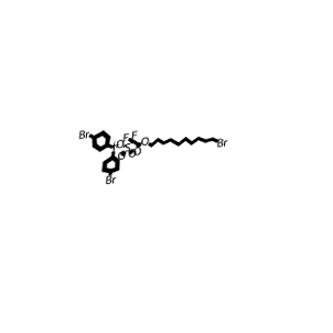 O=C(OCCCCCCCCCCBr)C(F)(F)S(=O)(=O)O[I+](c1ccc(Br)cc1)c1ccc(Br)cc1